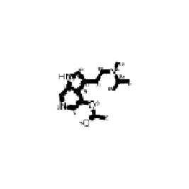 CC(=O)Oc1cncc2[nH]cc(CCN(C)C(C)C)c12